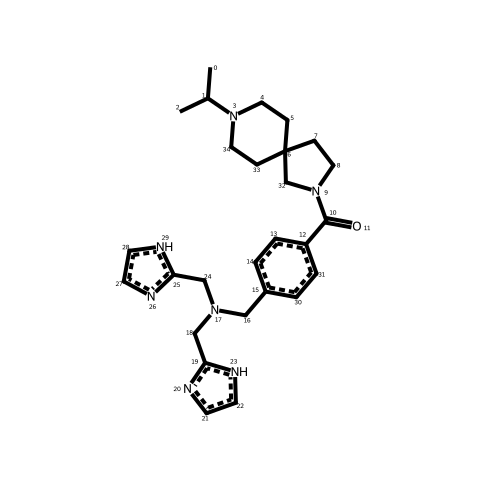 CC(C)N1CCC2(CCN(C(=O)c3ccc(CN(Cc4ncc[nH]4)Cc4ncc[nH]4)cc3)C2)CC1